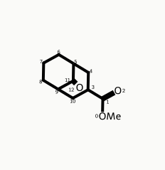 COC(=O)C1CC2CCCC(C1)C2=O